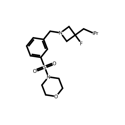 CC(C)CC1(F)CN(Cc2cccc(S(=O)(=O)N3CCOCC3)c2)C1